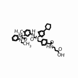 CCN(c1ccccc1)S(=O)(=O)c1cc(NC(=O)N(Cc2ccc(C(=O)NCCC(=O)O)cc2)c2ccc(C3CCCCC3)cc2)ccc1C